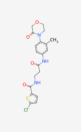 Cc1cc(NC(=O)CCNC(=O)c2ccc(Cl)s2)ccc1N1CCOCC1=O